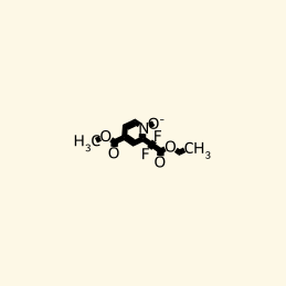 CCOC(=O)C(F)(F)c1cc(C(=O)OC)cc[n+]1[O-]